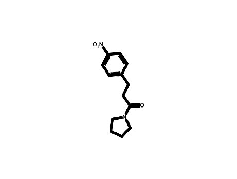 O=C(CCc1ccc([N+](=O)[O-])cc1)N1CCCC1